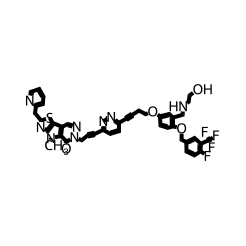 Cn1c2nc(Cc3ccccn3)sc2c2cnn(CC#Cc3ccc(C#CCCOc4ccc(OCc5ccc(F)c(C(F)(F)F)c5)c(CNCCO)c4)nn3)c(=O)c21